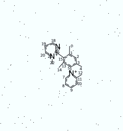 Cc1cc(C)c(-[n+]2ccccc2C)c(C)c1-c1nccc[n+]1C